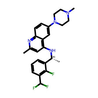 Cc1cc(N[C@H](C)c2cccc(C(F)F)c2F)c2cc(N3CCN(C)CC3)ccc2n1